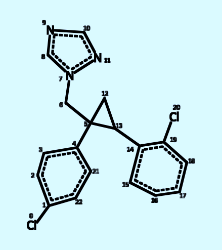 Clc1ccc(C2(Cn3cncn3)CC2c2ccccc2Cl)cc1